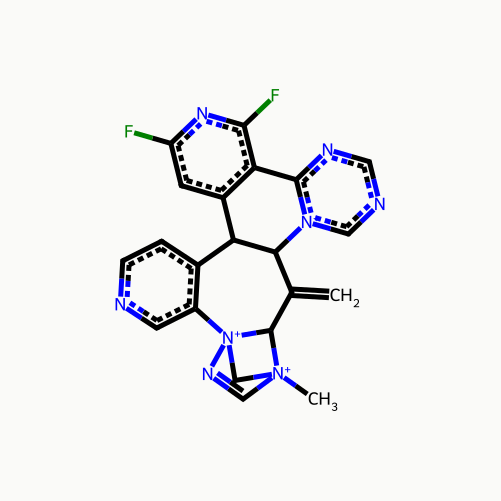 C=C1C2C(c3ccncc3[N+]34C[N+](C)(C=N3)C14)c1cc(F)nc(F)c1-c1ncnc[n+]12